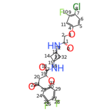 O=C(COc1ccc(Cl)c(F)c1)NC12CC(NC(=O)[C@@H]3CC(=O)c4cc(F)c(F)cc4O3)(C1)C2